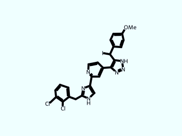 COc1ccc(C(I)c2[nH]nnc2-c2ccnc(-c3c[nH]c(Cc4cccc(Cl)c4Cl)n3)c2)cc1